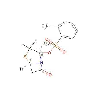 CC1(C)S[C@@H]2CC(=O)N2[C@@]1(OS(=O)(=O)c1ccccc1[N+](=O)[O-])C(=O)O